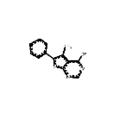 Cc1ncnc2sc(-c3ccccc3)c(C)c12